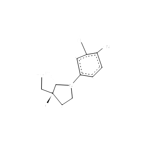 CC[C@]1(CO)CCN(c2ccc(C#N)c(Cl)c2)[C@H]1C(C)C